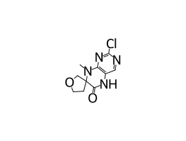 CN1c2nc(Cl)ncc2NC(=O)C12CCOC2